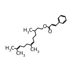 CC(C)=CCCC(C)=CCCC(C)CCOC(=O)/C=C/c1ccccc1